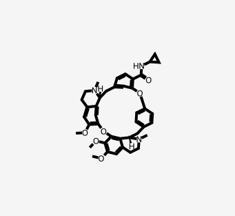 COc1cc2c3cc1Oc1c(OC)c(OC)cc4c1[C@H](Cc1ccc(cc1)Oc1cc(ccc1C(=O)NC1CC1)C[C@H]3N(C)CC2)N(C)CC4